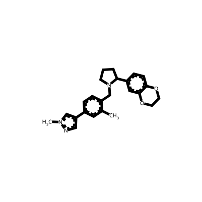 Cc1cc(-c2cnn(C)c2)ccc1CN1CCCC1c1ccc2c(c1)OCCO2